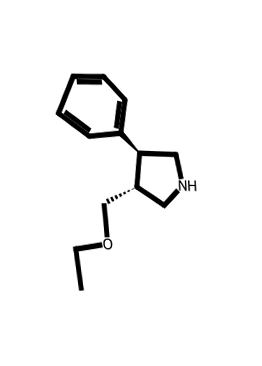 CCOC[C@H]1CNC[C@@H]1c1ccccc1